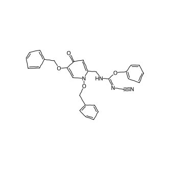 N#CN=C(NCc1cc(=O)c(OCc2ccccc2)cn1OCc1ccccc1)Oc1ccccc1